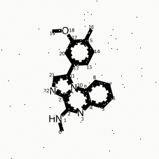 CNc1nc2ccccc2n2c(-c3ccc(C)c(OC)c3)cnc12